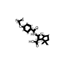 CC1(C)CCC2SC(NC(=O)c3ccc(OC(F)F)cc3)=C(C(=O)O)C21